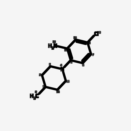 CC1CCN(c2ccc(Cl)cc2N)CC1